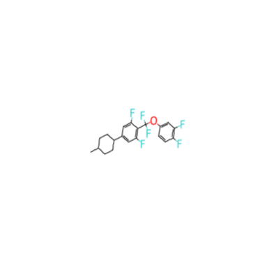 CC1CCC(c2cc(F)c(C(F)(F)Oc3ccc(F)c(F)c3)c(F)c2)CC1